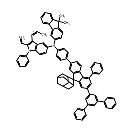 C=Cc1c(/C=C\C)c2cc(N(c3ccc(-c4ccc5c(c4)C4(c6cc(-c7cc(-c8ccccc8)cc(-c8ccccc8)c7)cc(-c7ccccc7)c6-5)C5CC6CC(C5)CC4C6)cc3)c3ccc4c(c3)-c3ccccc3C4(C)C)ccc2n1-c1ccccc1